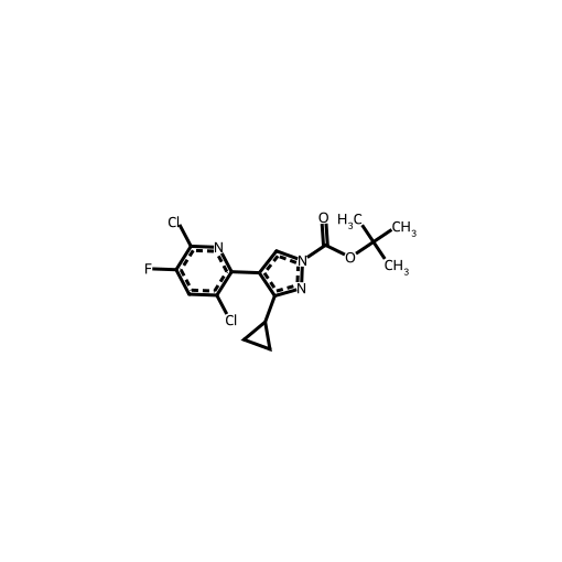 CC(C)(C)OC(=O)n1cc(-c2nc(Cl)c(F)cc2Cl)c(C2CC2)n1